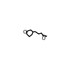 C(CC1CCC2OC2C1)CC1CO1